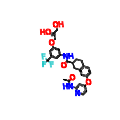 CC(=O)Nc1cc(Oc2ccc3c(c2)CC(C(=O)Nc2cc(OC[C@H](O)CO)cc(C(F)(F)F)c2)CC3)ccn1